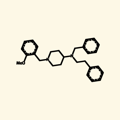 COc1ccccc1CN1CCC(N(CCc2ccccc2)Cc2ccccc2)CC1